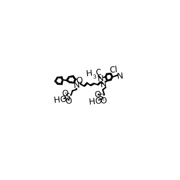 CCN1C(=CC=CC=Cc2oc3ccc(-c4ccccc4)cc3[n+]2CCCS(=O)(=O)O)N(CCCS(=O)(=O)O)c2cc(C#N)c(Cl)cc21